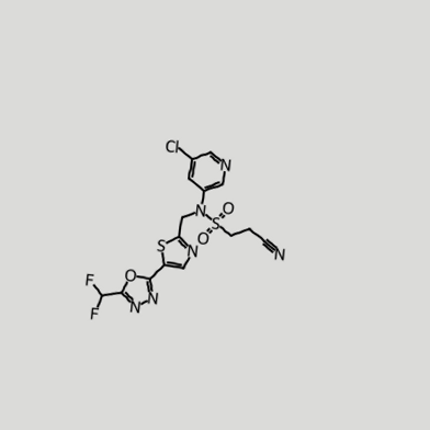 N#CCCS(=O)(=O)N(Cc1ncc(-c2nnc(C(F)F)o2)s1)c1cncc(Cl)c1